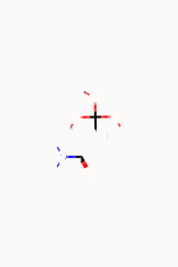 CN(C)C=O.COC(C)(OC)OC